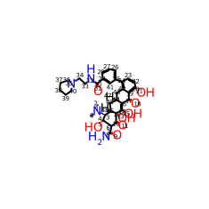 CN(C)[C@@H]1C(O)C(C(N)=O)C(=O)[C@@]2(O)C(O)=C3C(=O)c4c(O)ccc(-c5cccc(C(=O)NCCN6CCCCC6)c5)c4C[C@H]3C[C@@H]12